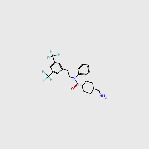 NC[C@H]1CC[C@H](C(=O)N(CCc2cc(C(F)(F)F)cc(C(F)(F)F)c2)c2ccccc2)CC1